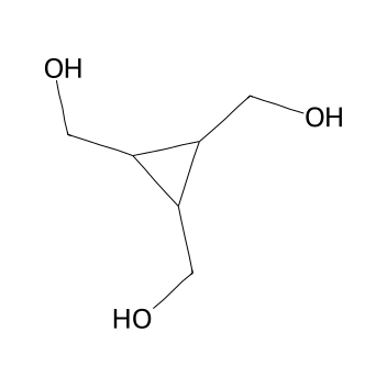 OCC1C(CO)C1CO